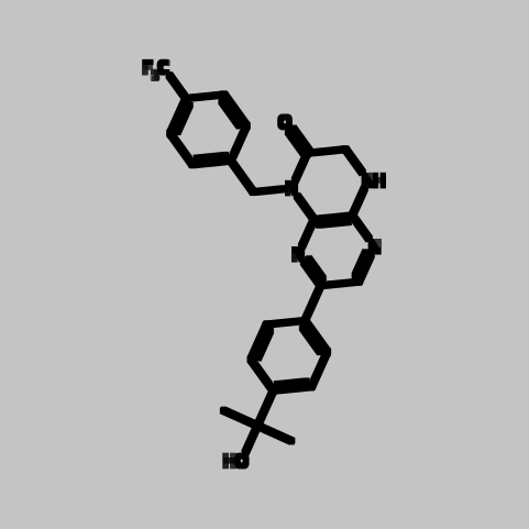 CC(C)(O)c1ccc(-c2cnc3c(n2)N(Cc2ccc(C(F)(F)F)cc2)C(=O)CN3)cc1